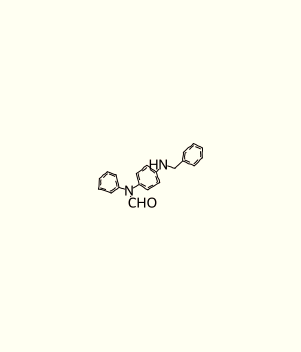 O=CN(c1ccccc1)c1ccc(NCc2ccccc2)cc1